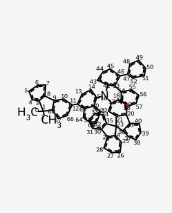 CC1(C)c2ccccc2-c2cc(-c3ccc(N(c4ccc5c(c4)C4(c6ccccc6-c6ccccc64)c4ccccc4-5)c4cccc(-c5ccccc5)c4-c4ccccc4)c4ccccc34)ccc21